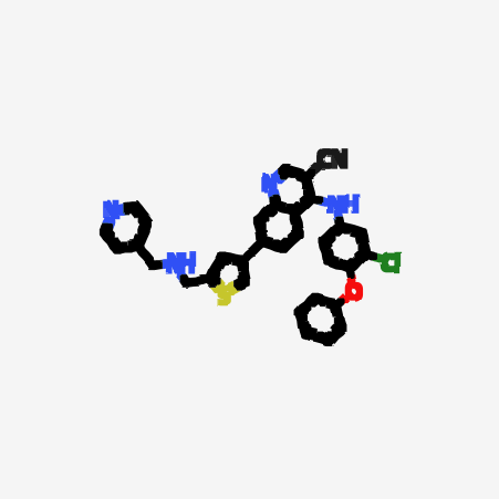 N#Cc1cnc2cc(-c3csc(CNCc4ccncc4)c3)ccc2c1Nc1ccc(Oc2ccccc2)c(Cl)c1